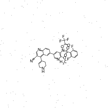 COc1ncc(-c2ccc3ncc(C#N)c(C4=CCNCC4)c3c2)cc1N(OC(=O)C(F)(F)F)S(=O)(=O)c1c(F)cccc1F